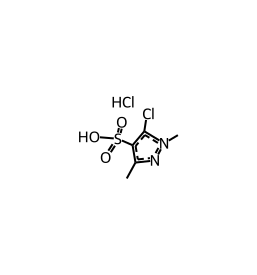 Cc1nn(C)c(Cl)c1S(=O)(=O)O.Cl